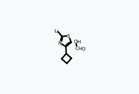 O=CO.[Li][c]1nc(C2CCC2)cs1